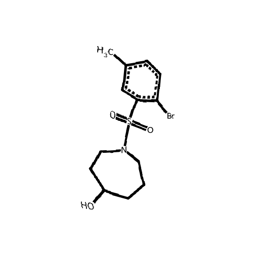 Cc1ccc(Br)c(S(=O)(=O)N2CCCC(O)CC2)c1